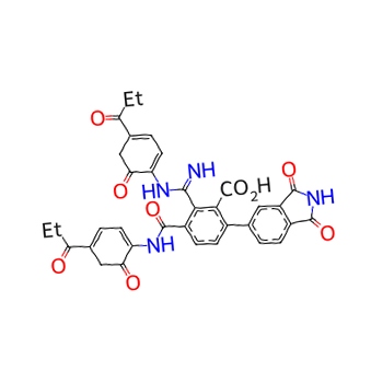 CCC(=O)C1=CC=C(NC(=N)c2c(C(=O)NC3=CC=C(C(=O)CC)CC3=O)ccc(-c3ccc4c(c3)C(=O)NC4=O)c2C(=O)O)C(=O)C1